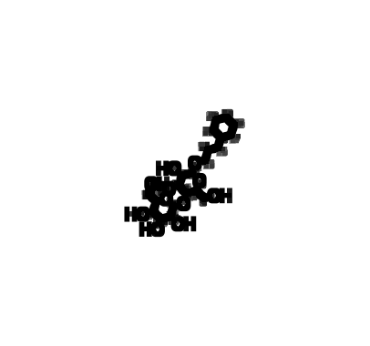 OCC1O[C@H](O[C@@H]2C(CO)O[C@@H](OCCCC3CCCCC3)C(O)[C@H]2O)C(O)[C@@H](O)[C@@H]1O